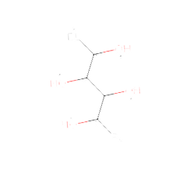 CCC(O)C(O)C(O)C(O)CC